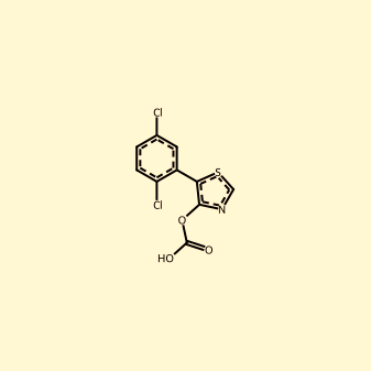 O=C(O)Oc1ncsc1-c1cc(Cl)ccc1Cl